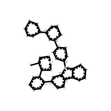 Cc1ccccc1-c1ccccc1-c1ccc2c3ccccc3n(-c3ccc(-c4cccc(-c5ccccc5)c4)cc3)c2c1